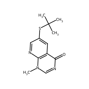 Cn1cnc(=O)c2cc(SC(C)(C)C)cnc21